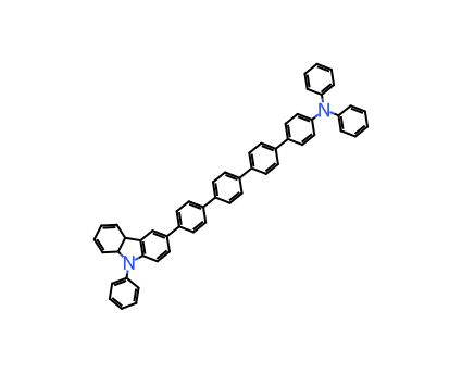 C1=CC2c3cc(-c4ccc(-c5ccc(-c6ccc(-c7ccc(N(c8ccccc8)c8ccccc8)cc7)cc6)cc5)cc4)ccc3N(c3ccccc3)C2C=C1